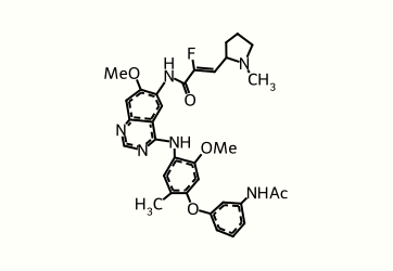 COc1cc2ncnc(Nc3cc(C)c(Oc4cccc(NC(C)=O)c4)cc3OC)c2cc1NC(=O)/C(F)=C/C1CCCN1C